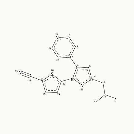 CC(C)Cn1cc(-c2ccncc2)c(-c2ccc(C#N)s2)n1